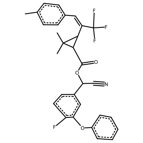 Cc1ccc(/C=C(\C2C(C(=O)OC(C#N)c3ccc(F)c(Oc4ccccc4)c3)C2(C)C)C(F)(F)F)cc1